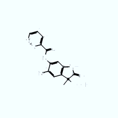 CCOC(=O)C1(C)C(=O)Nc2cc(NC(=O)c3cccnn3)c([N+](=O)[O-])cc21